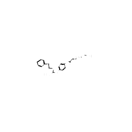 COOOSCC(=O)Oc1ccc(OC(C)OCCc2ccccc2)cc1